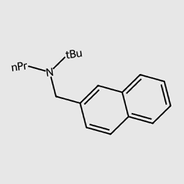 CCCN(Cc1ccc2ccccc2c1)C(C)(C)C